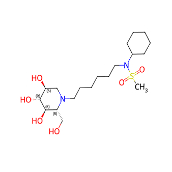 CS(=O)(=O)N(CCCCCCN1C[C@H](O)[C@@H](O)[C@H](O)[C@H]1CO)C1CCCCC1